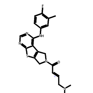 Cc1cc(Nc2ncnc3sc4c(c23)CN(C(=O)/C=C/CN(C)C)C4)ccc1F